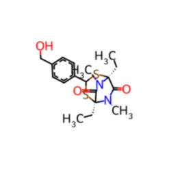 CC[C@@]12SC(c3ccc(CO)cc3)S[C@@](CC)(C(=O)N1C)N(C)C2=O